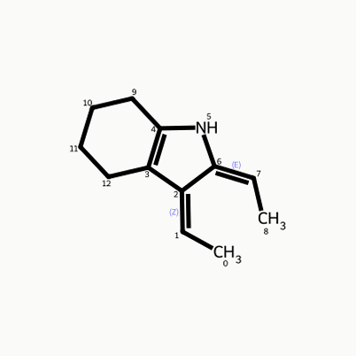 C/C=c1/c2c([nH]/c1=C/C)CCCC2